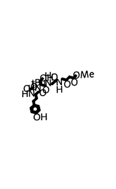 COC(=O)CC(=O)CNC(=O)CNC(=O)C(CO)NC(=O)C(CCc1ccc(O)cc1)NC(=O)OC(C)(C)C